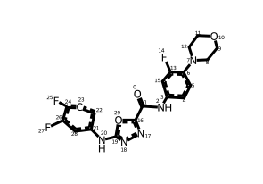 O=C(Nc1ccc(N2CCOCC2)c(F)c1)c1nnc(Nc2ccc(F)c(F)c2)o1